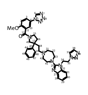 COc1ccc(-n2cnnn2)cc1C(=O)N1CCC(CCN2CCCN(c3nc4ccccc4n3CCn3ccnn3)CC2)(c2ccccc2)C1